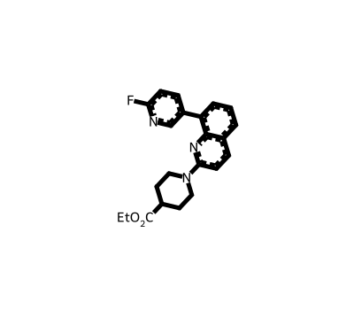 CCOC(=O)C1CCN(c2ccc3cccc(-c4ccc(F)nc4)c3n2)CC1